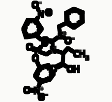 CCC(C(=O)O)N(CP(=O)(Oc1cccc([N+](=O)[O-])c1)Oc1cccc([N+](=O)[O-])c1)C(=O)[S+]([O-])Cc1ccccc1